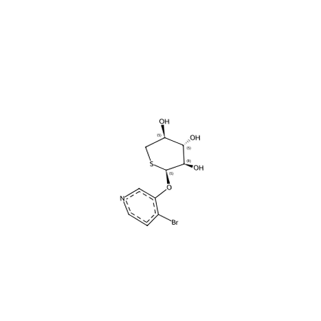 O[C@@H]1[C@@H](O)[C@@H](Oc2cnccc2Br)SC[C@H]1O